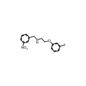 O=[N+]([O-])c1cccc(CNCCOc2cccc(F)c2)c1